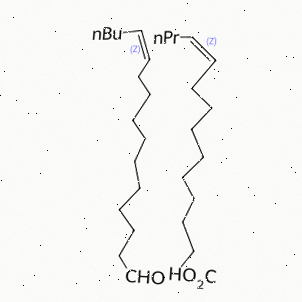 CCC/C=C\CCCCCCCCC(=O)O.CCCC/C=C\CCCCCCCCCC=O